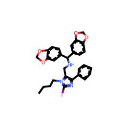 CCCCn1c(I)nc(-c2ccccc2)c1CNC(c1ccc2c(c1)OCO2)c1ccc2c(c1)OCO2